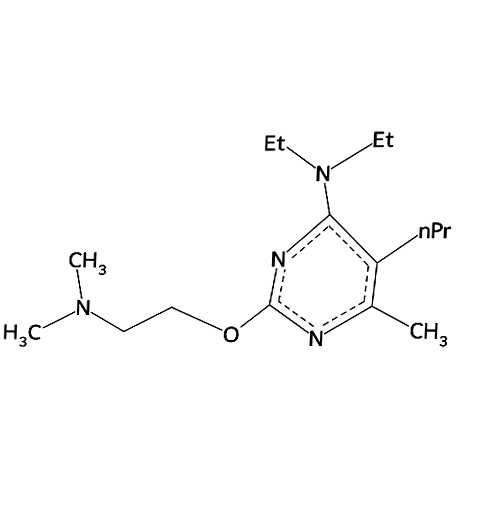 CCCc1c(C)nc(OCCN(C)C)nc1N(CC)CC